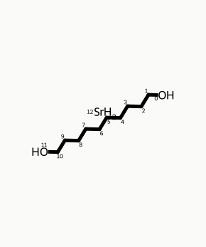 OCCCCCCCCCCO.[SrH2]